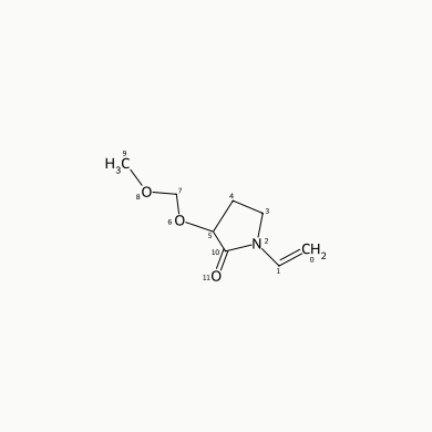 C=CN1CCC(OCOC)C1=O